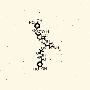 CC(C)(O/N=C(\C(=O)N[C@@H]1C(=O)N2C(C(=O)O)=C(CS(=O)(=O)c3ccc(O)c(O)c3)CS[C@H]12)c1csc(N)n1)C(=O)NNC(=O)c1ccc(O)c(O)c1